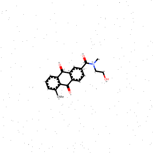 COc1cccc2c1C(=O)c1ccc(C(=O)N(C)CCO)cc1C2=O